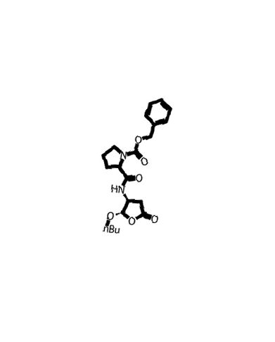 CCCCO[C@H]1OC(=O)C[C@@H]1NC(=O)C1CCCN1C(=O)OCc1ccccc1